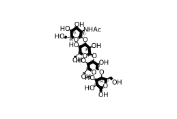 CC(=O)N[C@H]1[C@H](O[C@H]2[C@@H](O)[C@@H](CO)O[C@H](O[C@H]3[C@@H](O)[C@@H](CO)O[C@@H](O[C@H]4[C@H](O)[C@@H](O)C(O)O[C@@H]4CO)[C@@H]3O)[C@@H]2O)O[C@H](CO)[C@H](O)[C@@H]1O